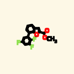 COC(=O)c1cc2cccc(-c3cc(F)cc(F)c3F)c2o1